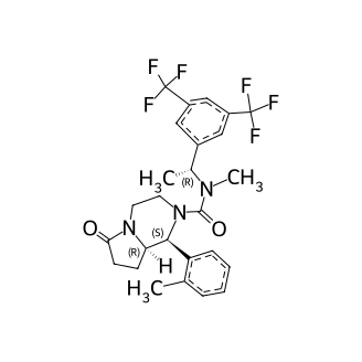 Cc1ccccc1[C@H]1[C@H]2CCC(=O)N2CCN1C(=O)N(C)[C@H](C)c1cc(C(F)(F)F)cc(C(F)(F)F)c1